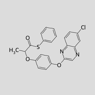 CC(Oc1ccc(Oc2cnc3cc(Cl)ccc3n2)cc1)C(=O)Sc1ccccc1